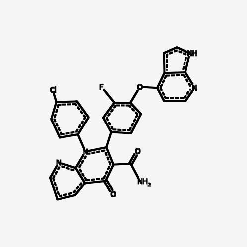 NC(=O)c1c(-c2ccc(Oc3ccnc4[nH]ccc34)c(F)c2)n(-c2ccc(Cl)cc2)c2ncccc2c1=O